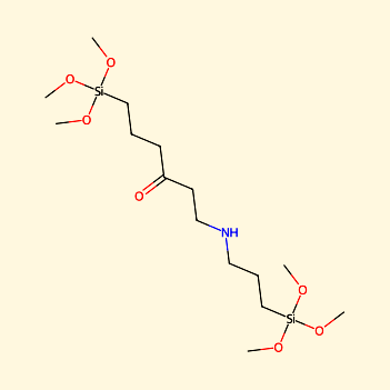 CO[Si](CCCNCCC(=O)CCC[Si](OC)(OC)OC)(OC)OC